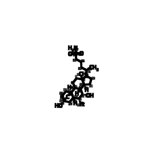 CC[C@H]1[C@@H](O)[C@@H]2[C@H](CC[C@]3(C)[C@@H]([C@H](C)CCCS(N)(=O)=O)CC[C@@H]23)[C@@]2(C)CC[C@@H](O)C[C@@H]12